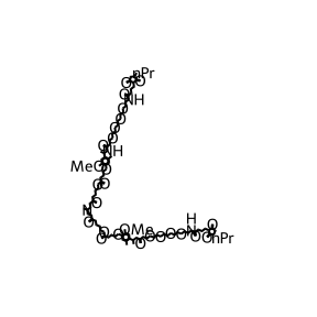 CCCC1CC(=O)C(CCCC(=O)NCCOCCOCCOCCOCCC(=O)CC(C)c2cc(OC)c(OCCCC(=O)OCCCCC(=O)CCN(C)CCC(=O)CCCCOC(=O)CCCOc3cc(C)c(C(C)NC(=O)CCOCCOCCOCCOCCNC(=O)CCCC4C(=O)CC(CCC)C4=O)cc3OC)cc2C)C1=O